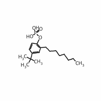 CCCCCCCCc1cc(C(C)(C)C)ccc1OP(=O)(O)O